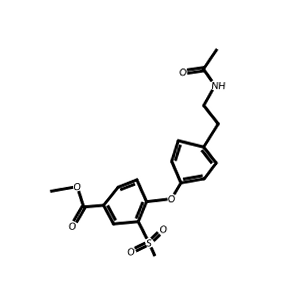 COC(=O)c1ccc(Oc2ccc(CCNC(C)=O)cc2)c(S(C)(=O)=O)c1